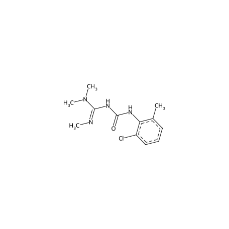 CN=C(NC(=O)Nc1c(C)cccc1Cl)N(C)C